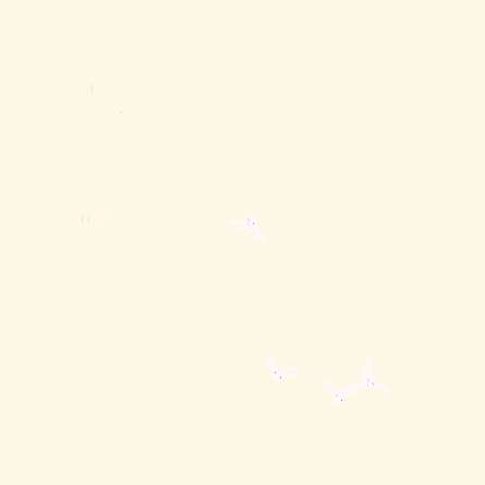 Cn1cc2cc(-c3cnc4cc(C(O)C5CC(F)(F)C5)sc4c3)cnc2n1